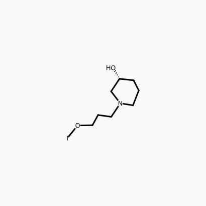 O[C@@H]1CCCN(CCCOI)C1